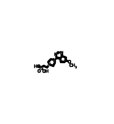 COc1ccc2c(N3CCN(CCP(=O)(O)O)CC3)ncnc2c1